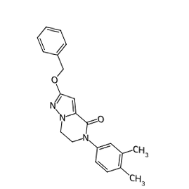 Cc1ccc(N2CCn3nc(OCc4ccccc4)cc3C2=O)cc1C